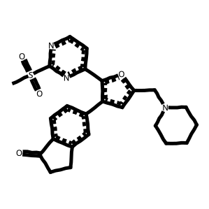 CS(=O)(=O)c1nccc(-c2oc(CN3CCCCC3)cc2-c2ccc3c(c2)CCC3=O)n1